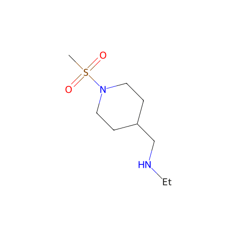 CCNCC1CCN(S(C)(=O)=O)CC1